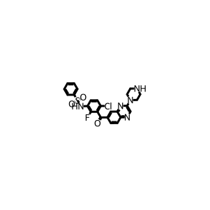 O=C(c1ccc2ncc(N3CCNCC3)nc2c1)c1c(Cl)ccc(NS(=O)(=O)c2ccccc2)c1F